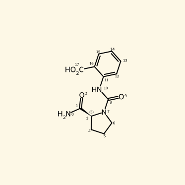 NC(=O)[C@@H]1CCCN1C(=O)Nc1ccccc1C(=O)O